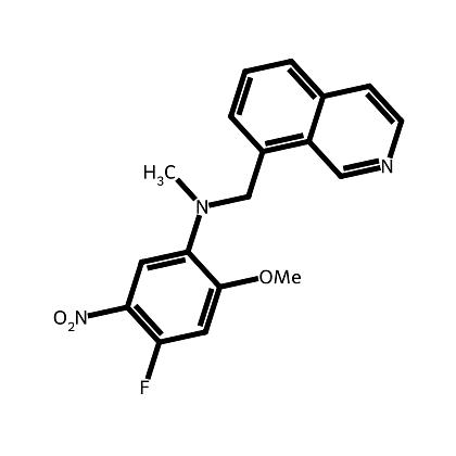 COc1cc(F)c([N+](=O)[O-])cc1N(C)Cc1cccc2ccncc12